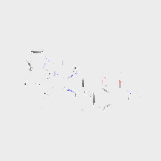 CN(c1ncc(-c2c(F)ccc(C(N)=O)c2O)cn1)C1(c2ncccc2F)CC(F)C1